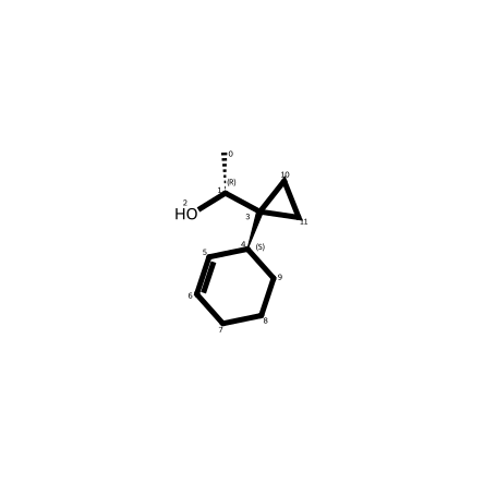 C[C@@H](O)C1([C@@H]2C=CCCC2)CC1